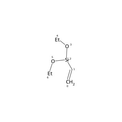 C=C[Si](OCC)OCC